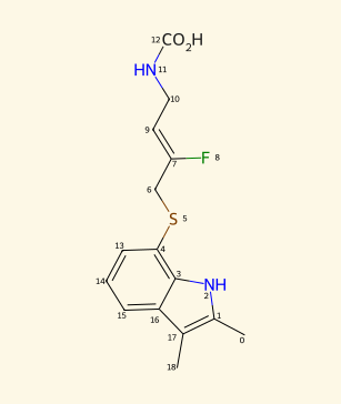 Cc1[nH]c2c(SC/C(F)=C/CNC(=O)O)cccc2c1C